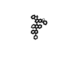 CC1(C)c2ccccc2-c2cc(-c3c4c(c(-c5ccc(C6=CC=CCC6)c6ccccc56)c5ccccc35)=CCCC=4)c3cc4c(cc3c21)oc1ccccc14